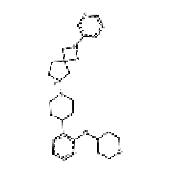 c1ccc(C2CCN([C@@H]3CCC4(C3)CN(c3cncnc3)C4)CC2)c(OC2CCOCC2)c1